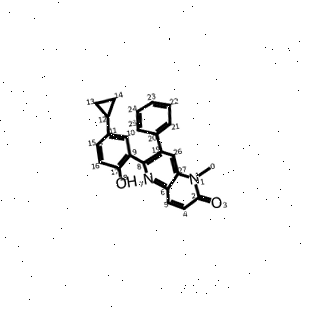 Cn1c(=O)ccc2nc(-c3cc(C4CC4)[c]cc3O)c(-c3ccccc3)cc21